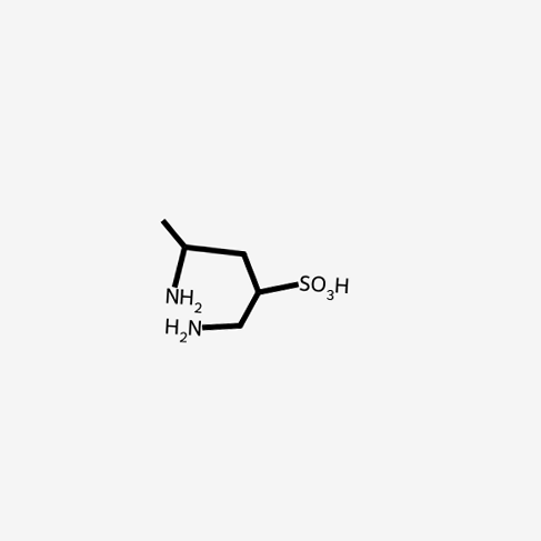 CC(N)CC(CN)S(=O)(=O)O